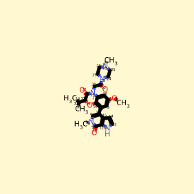 COc1cc(-c2cn(C)c(=O)c3[nH]ccc23)c2c(c1)N(CC(=O)N1CCN(C)CC1)C(=O)C(C(C)C)O2